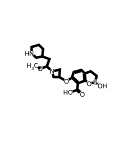 COC(CC1CCCNC1)N1CC(Oc2ccc3c(c2C(=O)O)OB(O)CC3)C1